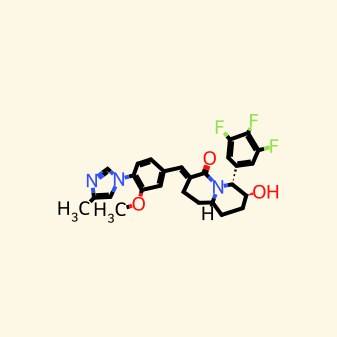 COc1cc(C=C2CC[C@@H]3CC[C@@H](O)[C@@H](c4cc(F)c(F)c(F)c4)N3C2=O)ccc1-n1cnc(C)c1